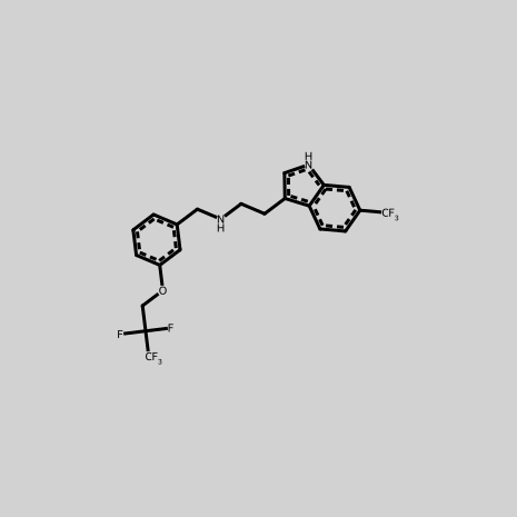 FC(F)(F)c1ccc2c(CCNCc3cccc(OCC(F)(F)C(F)(F)F)c3)c[nH]c2c1